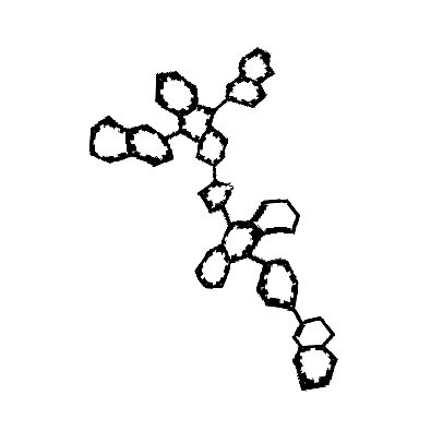 C1=C(c2ccc(-c3c4c(c(-c5ccc(-c6ccc7c(-c8ccc9ccccc9c8)c8ccccc8c(-c8ccc9ccccc9c8)c7c6)s5)c5ccccc35)=CCCC=4)cc2)CCc2ccccc21